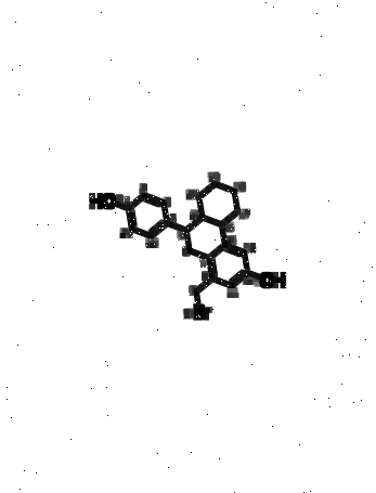 Oc1ccc(C2Cc3c(CBr)cc(O)cc3C3CCCCC23)cc1